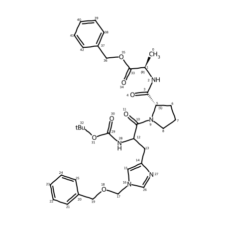 C[C@@H](NC(=O)[C@@H]1CCCN1C(=O)C(Cc1cn(COCc2ccccc2)cn1)NC(=O)OC(C)(C)C)C(=O)OCc1ccccc1